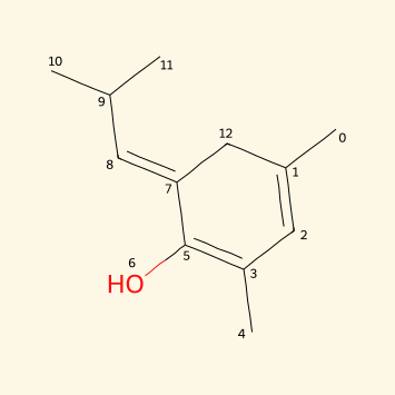 CC1=CC(C)=C(O)C(=CC(C)C)C1